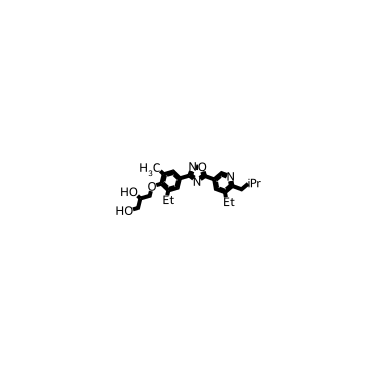 CCc1cc(-c2nc(-c3cc(C)c(OCC(O)CO)c(CC)c3)no2)cnc1CC(C)C